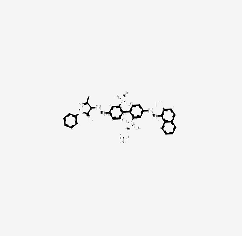 CC1=NN(c2ccccc2)C(=O)C1N=Nc1ccc(-c2ccc(N=Nc3c(O)ccc4ccccc34)cc2S(=O)(=O)[O-])c(S(=O)(=O)[O-])c1.[Na+].[Na+]